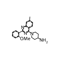 COc1ccccc1-c1nc(N2CCC(N)CC2)c2ccc(C)cc2n1